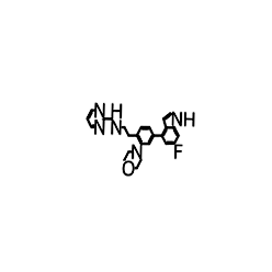 Fc1cc(-c2ccc(CCNCc3ncccn3)c(N3CCOCC3)c2)c2cc[nH]c2c1